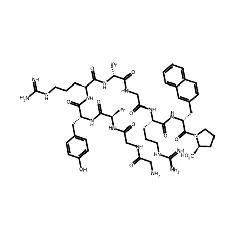 CC(C)[C@@H](NC(=O)CNC(=O)CN)C(=O)N[C@H](Cc1ccc(O)cc1)C(=O)N[C@@H](CCCNC(=N)N)C(=O)N[C@@H](C(=O)NCC(=O)N[C@@H](CCCNC(=N)N)C(=O)N[C@H](Cc1ccc2ccccc2c1)C(=O)N1CCC[C@H]1C(=O)O)C(C)C